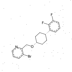 Fc1cccc([C@H]2CC[C@@H](OCc3ncccc3Br)CC2)c1F